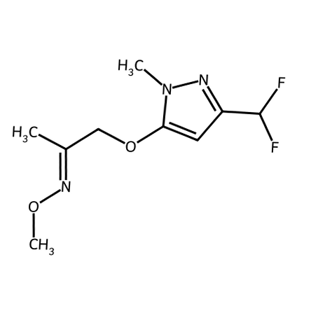 CON=C(C)COc1cc(C(F)F)nn1C